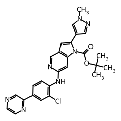 Cn1cc(-c2cc3cnc(Nc4ccc(-c5cnccn5)cc4Cl)cc3n2C(=O)OC(C)(C)C)cn1